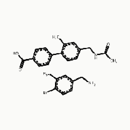 CC(=O)NCc1ccc(-c2ccc(C(=O)O)cc2)c(C)c1.Cc1cc(CN)ccc1Br